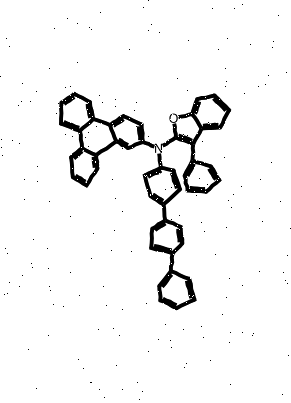 c1ccc(-c2ccc(-c3ccc(N(c4ccc5c6ccccc6c6ccccc6c5c4)c4oc5ccccc5c4-c4ccccc4)cc3)cc2)cc1